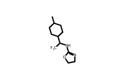 CC1CCC(C(NC2=NCCO2)C(F)(F)F)CC1